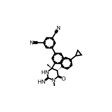 CN1C(=N)N[C@](C)(c2cccc(-c3cc(C#N)cc(C#N)c3)c2)[C@H](c2ccc(C3CC3)cc2)C1=O